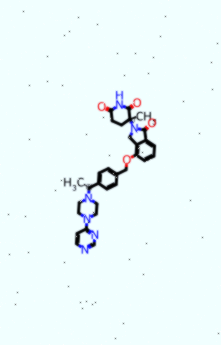 C[C@H](c1ccc(COc2cccc3c2CN([C@]2(C)CCC(=O)NC2=O)C3=O)cc1)N1CCN(c2ccncn2)CC1